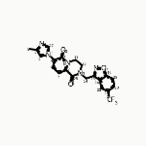 Cc1cn(-c2ccc3n(c2=O)CCN(Cc2noc4ccc(C(F)(F)F)cc24)C3=O)cn1